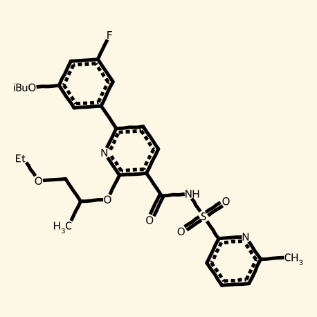 CCOCC(C)Oc1nc(-c2cc(F)cc(OCC(C)C)c2)ccc1C(=O)NS(=O)(=O)c1cccc(C)n1